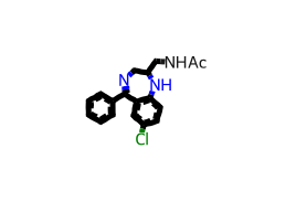 CC(=O)NCC1CN=C(c2ccccc2)c2cc(Cl)ccc2N1